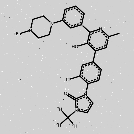 [2H]C([2H])([2H])n1ccn(-c2ccc(-c3cc(C)nc(-c4cccc(N5CCN(C(C)(C)C)CC5)c4)c3O)cc2Cl)c1=O